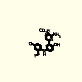 Nc1nc(-c2cc(Nc3ccc(Cl)cc3CF)ccc2O)ccc1C(=O)O